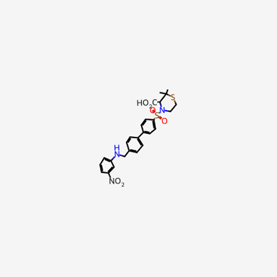 CC1(C)SCCN(S(=O)(=O)c2ccc(-c3ccc(CNc4cccc([N+](=O)[O-])c4)cc3)cc2)[C@H]1C(=O)O